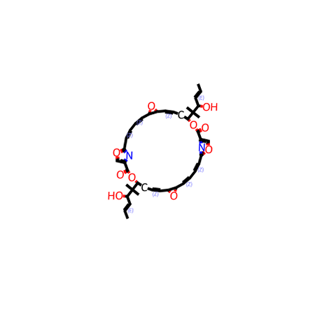 C/C=C/C(O)C(C)(C)C1C/C=C\C2OC2/C=C\C=C/c2nc(co2)C(=O)OC(C(C)(C)C(O)/C=C/C)C/C=C\C2OC2/C=C\C=C/c2nc(co2)C(=O)O1